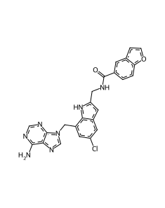 Nc1ncnc2c1ncn2Cc1cc(Cl)cc2cc(CNC(=O)c3ccc4occc4c3)[nH]c12